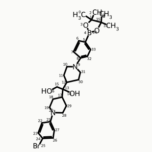 CC1(C)OB(c2ccc(N3CCC(C(O)(CO)C4CCN(c5ccc(Br)cc5)CC4)CC3)cc2)OC1(C)C